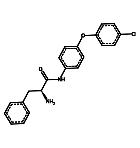 N[C@@H](Cc1ccccc1)C(=O)Nc1ccc(Oc2ccc(Cl)cc2)cc1